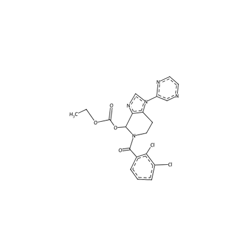 CCOC(=O)OC1c2ncn(-c3cnccn3)c2CCN1C(=O)c1cccc(Cl)c1Cl